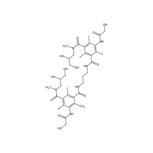 Cc1c(NC(=O)CO)c(I)c(C(=O)N(C)CC(O)CO)c(I)c1C(=O)NCCCNC(=O)c1c(I)c(NC(=O)CO)c(I)c(C(=O)N(C)CC(O)CO)c1I